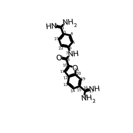 N=C(N)c1ccc(NC(=O)c2cc3ccc(C(=N)N)cc3o2)cc1